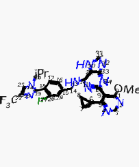 COc1ncnc(C2CC2)c1-c1nc(NCc2ccc(-c3nc(C(F)(F)F)cn3C(C)C)c(F)c2)c2[nH]cnc2n1